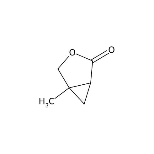 CC12COC(=O)C1C2